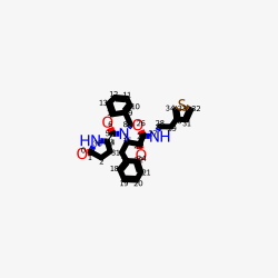 O=C1CC[C@@H](C(=O)N(Cc2ccccc2)C(Cc2ccccc2)C(=O)C(=O)NCCc2ccsc2)N1